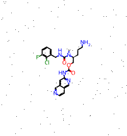 CN(C(=O)NCc1cccc(F)c1Cl)[C@@H](CCCN)COC(=O)Nc1cc2cnccc2cn1